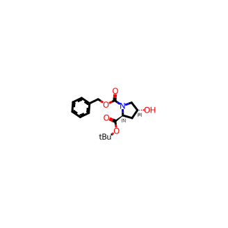 CC(C)(C)OC(=O)[C@@H]1C[C@@H](O)CN1C(=O)OCc1ccccc1